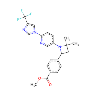 COC(=O)c1ccc(C2CC(C)(C)N2c2ccc(-n3cnc(C(F)(F)F)c3)nc2)cc1